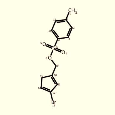 Cc1ccc(S(=O)(=O)OCC2=CC(Br)=CC2)cc1